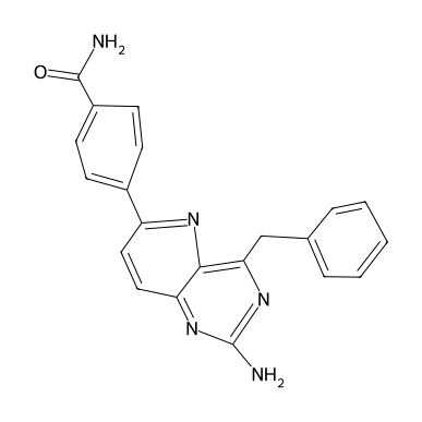 NC(=O)c1ccc(-c2ccc3nc(N)nc(Cc4ccccc4)c3n2)cc1